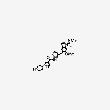 CNC(=O)n1ccc2cc(Oc3ccnc(NC(=O)c4cnn(C5CCNCC5)c4)c3)c(OC)cc21